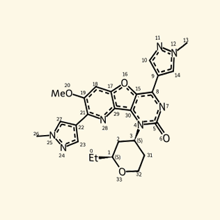 CC[C@H]1C[C@@H](n2c(=O)nc(-c3cnn(C)c3)c3oc4cc(OC)c(-c5cnn(C)c5)nc4c32)CCO1